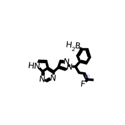 Bc1cccc(C(C/C=C(/C)F)n2cc(-c3ncnc4[nH]ccc34)cn2)c1